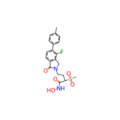 Cc1ccc(-c2ccc3c(c2F)CN(CC[C@](C)(C(=O)NO)S(C)(=O)=O)C3=O)cc1